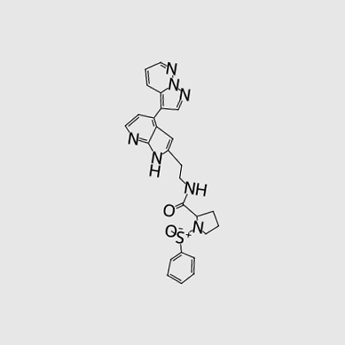 O=C(NCCc1cc2c(-c3cnn4ncccc34)ccnc2[nH]1)C1CCCN1[S+]([O-])c1ccccc1